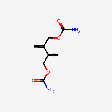 C=C(COC(N)=O)C(=C)COC(N)=O